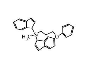 C[Si](CCCOc1ccccc1)(C1C=Cc2ccccc21)C1C=Cc2ccccc21